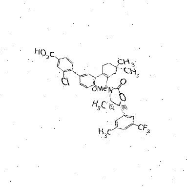 COc1ccc(-c2ccc(C(=O)O)cc2Cl)cc1C1=C(CN2C(=O)O[C@H](c3cc(C)cc(C(F)(F)F)c3)[C@@H]2C)CC(C)(C)CC1